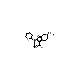 CN1CCc2c(sc(NC3CCCCO3)c2C(=O)O)C1